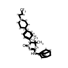 CC1(C)OC(NC23CC4CC(CC2C4)C3)=N[S+]([O-])[C@H]1c1ccc(C2CCN(CCC(F)(F)F)CC2)cc1